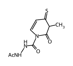 CC(=O)NNC(=O)N1C=CC(=S)C(C)C1=O